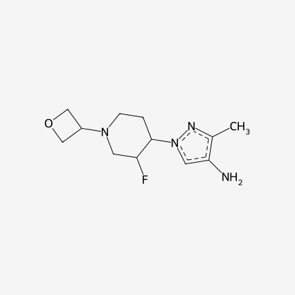 Cc1nn(C2CCN(C3COC3)CC2F)cc1N